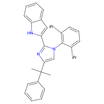 CC(C)c1cccc(C(C)C)c1-n1cc(C(C)(C)c2ccccc2)nc1-c1cc2ccccc2[nH]1